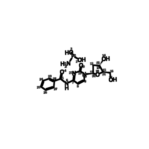 NP(O)O.O=C(Nc1ccn([C@H]2C[C@H](O)[C@@H](CO)O2)c(=O)n1)c1ccccc1